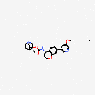 COc1cncc(-c2ccc3c(c2)OCCC3NC(=O)O[C@@H]2CN3CCC2CC3)c1